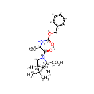 CC(C)(C)C(NC(=O)OCc1ccccc1)C(=O)N1C[C@H]2[C@@H]([C@H]1C(=O)O)C2(C)C